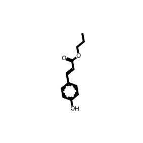 CCCOC(=O)C=Cc1ccc(O)cc1